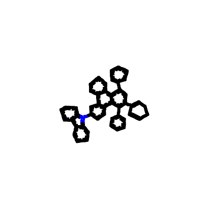 C1=CC(c2cc(-c3ccccc3)c3c4ccccc4c4cc(-n5c6ccccc6c6ccccc65)ccc4c3c2-c2ccccc2)=CCC1